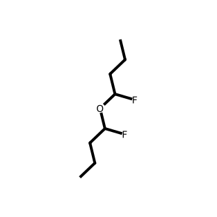 CCCC(F)OC(F)CCC